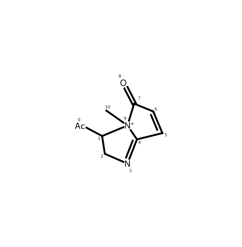 CC(=O)C1CN=C2C=CC(=O)[N+]21C